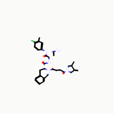 Cc1cc(NC(=O)[C@H](CCN)NC(=O)[C@@H]2Cc3ccccc3CN2C(=O)CCC(=O)N2CC(C)C(C)C2)ccc1Cl